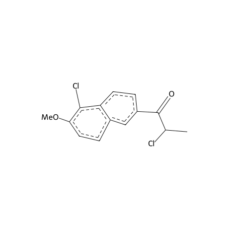 COc1ccc2cc(C(=O)C(C)Cl)ccc2c1Cl